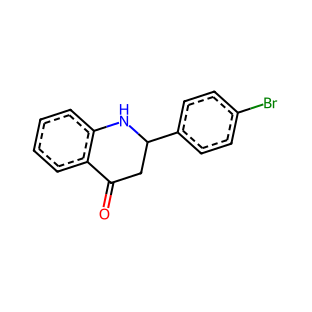 O=C1CC(c2ccc(Br)cc2)Nc2ccccc21